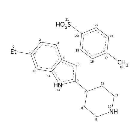 CCc1ccc2cc(C3CCNCC3)[nH]c2c1.Cc1ccc(S(=O)(=O)O)cc1